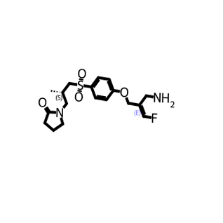 C[C@@H](CN1CCCC1=O)CS(=O)(=O)c1ccc(OC/C(=C/F)CN)cc1